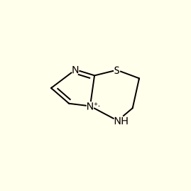 C1=C[N+]2NCCSC2=N1